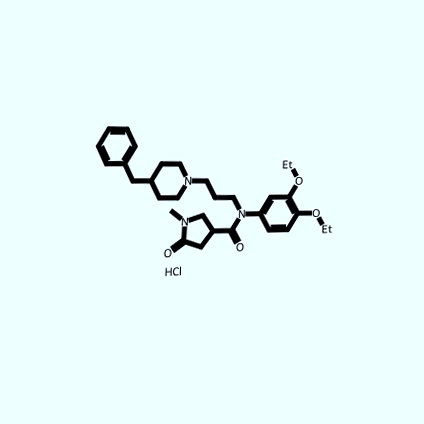 CCOc1ccc(N(CCCN2CCC(Cc3ccccc3)CC2)C(=O)C2CC(=O)N(C)C2)cc1OCC.Cl